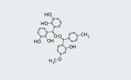 COc1ccc(C(=O)c2ccc(C)cc2)c(O)c1.O=C(c1cccc(O)c1O)c1cccc(O)c1O